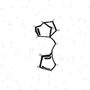 C1=CCC(CC23C=CC(CC2)C3)=C1